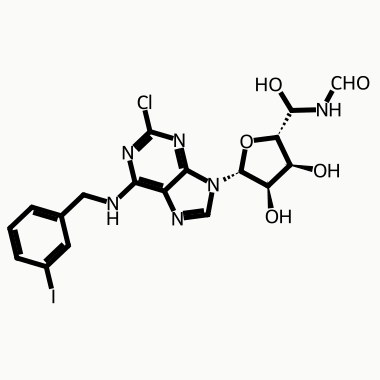 O=CNC(O)[C@H]1O[C@@H](n2cnc3c(NCc4cccc(I)c4)nc(Cl)nc32)[C@H](O)[C@@H]1O